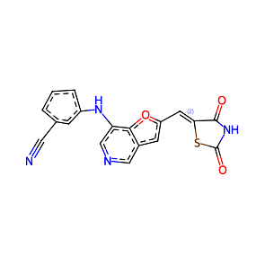 N#Cc1cccc(Nc2cncc3cc(/C=C4\SC(=O)NC4=O)oc23)c1